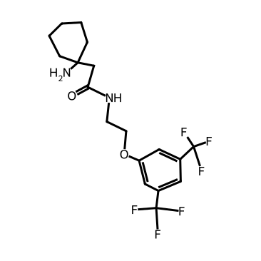 NC1(CC(=O)NCCOc2cc(C(F)(F)F)cc(C(F)(F)F)c2)CCCCC1